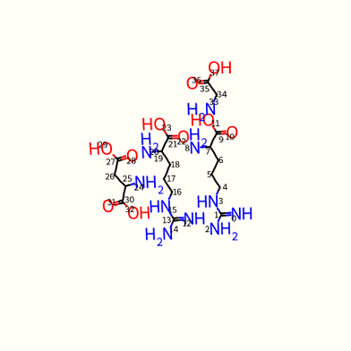 N=C(N)NCCCC(N)C(=O)O.N=C(N)NCCCC(N)C(=O)O.NC(CC(=O)O)C(=O)O.NCC(=O)O